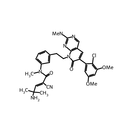 CNc1ncc2cc(-c3cc(OC)cc(OC)c3Cl)c(=O)n(CCc3cccc(N(C)C(=O)/C(C#N)=C/C(C)(C)N)c3)c2n1